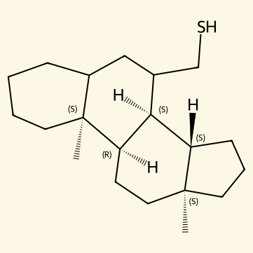 C[C@@]12CCC[C@H]1[C@@H]1C(CS)CC3CCCC[C@]3(C)[C@@H]1CC2